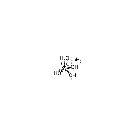 O.O=[As](O)(O)O.[CaH2]